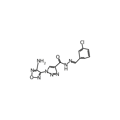 Nc1nonc1-n1cc(C(=O)NN=Cc2cccc(Cl)c2)nn1